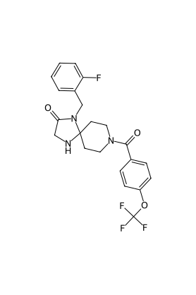 O=C(c1ccc(OC(F)(F)F)cc1)N1CCC2(CC1)NCC(=O)N2Cc1ccccc1F